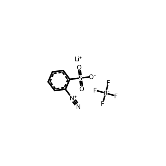 F[B-](F)(F)F.N#[N+]c1ccccc1S(=O)(=O)[O-].[Li+]